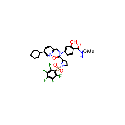 CONC(=O)c1ccc(N(Cc2ccc(C3CCCCC3)cn2)C(=O)C2CCN2S(=O)(=O)c2c(F)c(F)c(F)c(F)c2F)cc1O